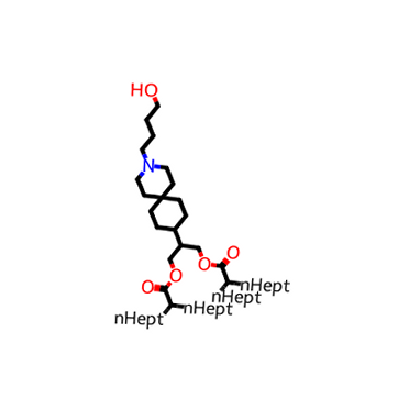 CCCCCCCC(CCCCCCC)C(=O)OCC(COC(=O)C(CCCCCCC)CCCCCCC)C1CCC2(CC1)CCN(CCCCO)CC2